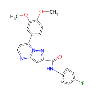 COc1ccc(-c2ccnc3cc(C(=O)Nc4ccc(F)cc4)nn23)cc1OC